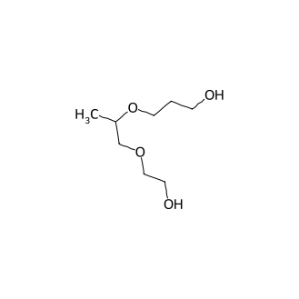 CC(COCCO)OCCCO